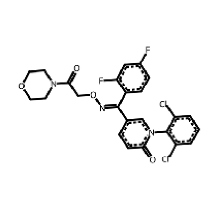 O=C(CON=C(c1ccc(=O)n(-c2c(Cl)cccc2Cl)c1)c1ccc(F)cc1F)N1CCOCC1